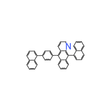 c1ccc2c(-c3ccc(-c4c5ccccc5c(-c5cccc6ccccc56)c5ncccc45)cc3)cccc2c1